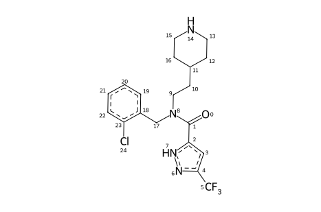 O=C(c1cc(C(F)(F)F)n[nH]1)N(CCC1CCNCC1)Cc1ccccc1Cl